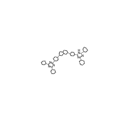 c1ccc(C2=NC(c3ccccc3)NC(c3ccc(-c4ccc5ccc(-c6ccc(-c7nc(-c8ccccc8)nc(-c8ccccc8)n7)cc6)cc5c4)cc3)=N2)cc1